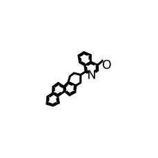 O=Cc1cnc(C2CCc3c(ccc4c3ccc3ccccc34)C2)c2ccccc12